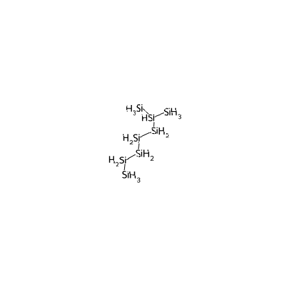 [SiH3][SiH2][SiH2][SiH2][SiH2][SiH]([SiH3])[SiH3]